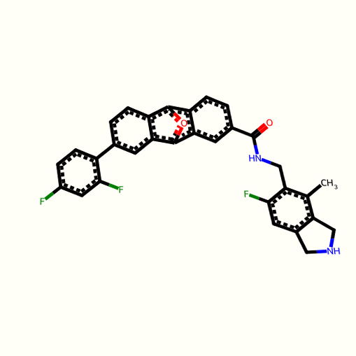 Cc1c(CNC(=O)c2ccc3c(c2)c2oc3c3ccc(-c4ccc(F)cc4F)cc32)c(F)cc2c1CNC2